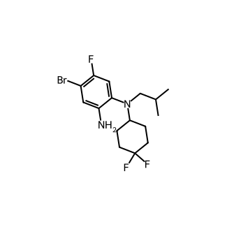 CC(C)CN(c1cc(F)c(Br)cc1N)C1CCC(F)(F)CC1